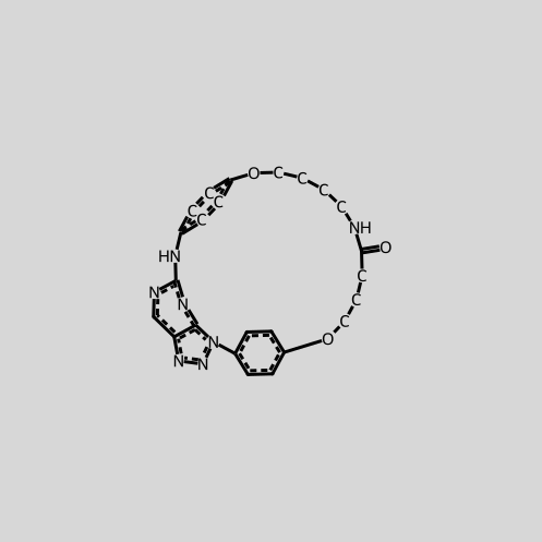 O=C1CCCOc2ccc(cc2)-n2nnc3cnc(nc32)Nc2ccc(cc2)OCCCCN1